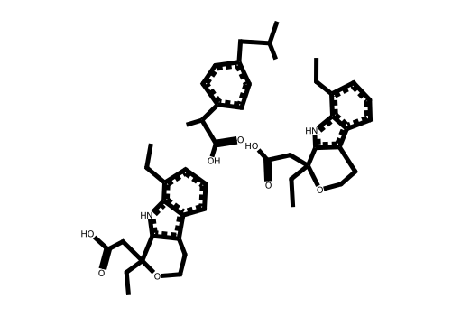 CC(C)Cc1ccc(C(C)C(=O)O)cc1.CCc1cccc2c3c([nH]c12)C(CC)(CC(=O)O)OCC3.CCc1cccc2c3c([nH]c12)C(CC)(CC(=O)O)OCC3